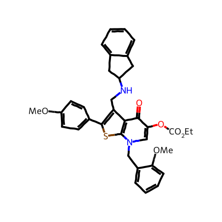 CCOC(=O)Oc1cn(Cc2ccccc2OC)c2sc(-c3ccc(OC)cc3)c(CNC3Cc4ccccc4C3)c2c1=O